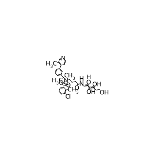 Cc1cnccc1-c1cccc(C(C)(C)N(CCCC(=O)NC[C@@H](O)[C@H](O)[C@@H](O)CCO)S(=O)(=O)c2cccc(Cl)c2C)c1